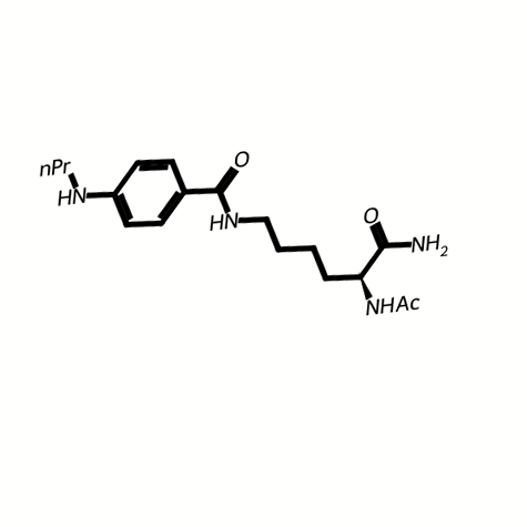 CCCNc1ccc(C(=O)NCCCC[C@H](NC(C)=O)C(N)=O)cc1